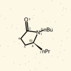 CCCCN1C(=O)CC[C@@H]1CCC